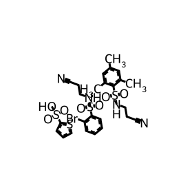 Cc1cc(C)c(S(=O)(=O)NCCC#N)c(C)c1.N#CCCNS(=O)(=O)c1ccccc1Br.O=S(=O)(O)c1cccs1